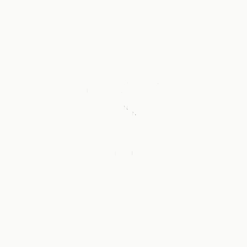 CCOC(=O)c1nn(Cc2cccc(C(F)(F)F)c2)c2ccc(F)cc12